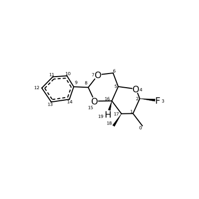 CC1[C@H](F)OC2COC(c3ccccc3)O[C@H]2[C@@H]1C